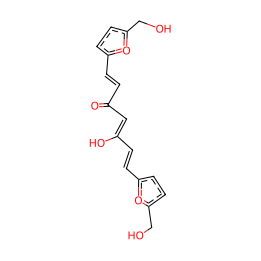 O=C(/C=C(O)/C=C/c1ccc(CO)o1)/C=C/c1ccc(CO)o1